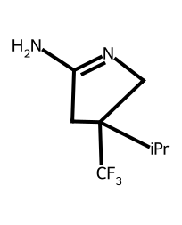 CC(C)C1(C(F)(F)F)CN=C(N)C1